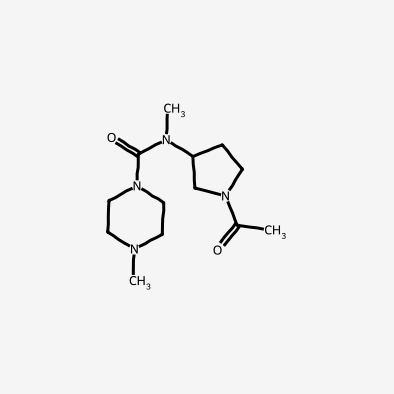 CC(=O)N1CCC(N(C)C(=O)N2CCN(C)CC2)C1